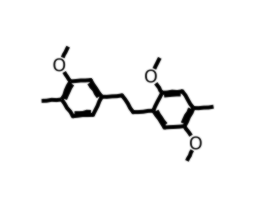 COc1cc(CCc2cc(OC)c(C)cc2OC)ccc1C